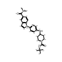 CN(C)C(=O)c1ccc2c(ccn2-c2ccc(NC3CCN(C(=O)OC(C)(C)C)CC3)cn2)c1